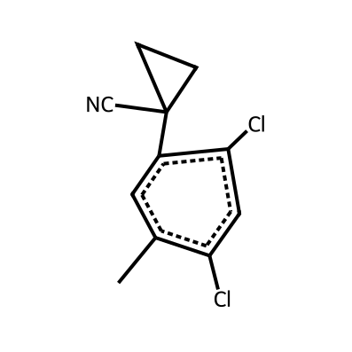 Cc1cc(C2(C#N)CC2)c(Cl)cc1Cl